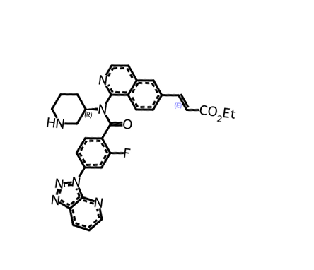 CCOC(=O)/C=C/c1ccc2c(N(C(=O)c3ccc(-n4nnc5cccnc54)cc3F)[C@@H]3CCCNC3)nccc2c1